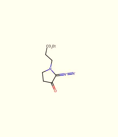 CCOC(=O)CCN1CCC(=O)C1=[N+]=[N-]